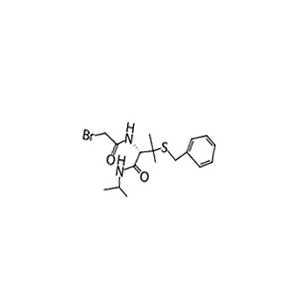 CC(C)NC(=O)[C@H](NC(=O)CBr)C(C)(C)SCc1ccccc1